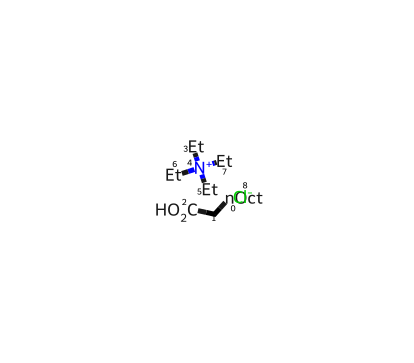 CCCCCCCCCC(=O)O.CC[N+](CC)(CC)CC.[Cl-]